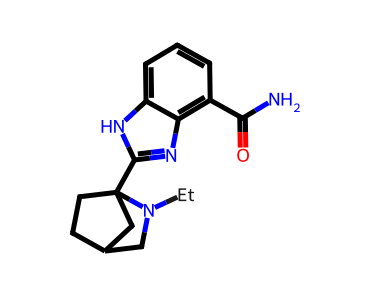 CCN1CC2CCC1(c1nc3c(C(N)=O)cccc3[nH]1)C2